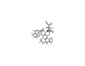 C/C=C/C(=O)N[C@@H](C)C(=O)NC[C@H]1c2c(c(OC(C)=O)c(C)c3c2OCO3)CC2[C@H]3c4c(cc(C)c(OC)c4O)C[C@@H]([C@H](C#N)N21)N3C